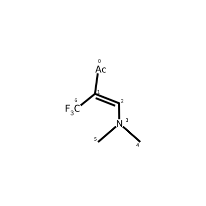 CC(=O)C(=CN(C)C)C(F)(F)F